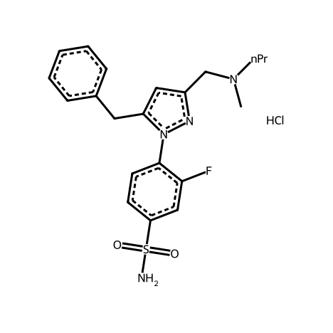 CCCN(C)Cc1cc(Cc2ccccc2)n(-c2ccc(S(N)(=O)=O)cc2F)n1.Cl